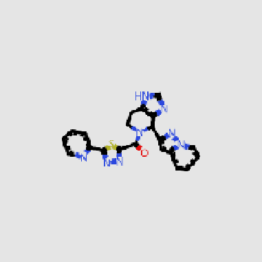 O=C(c1nnc(-c2ccccn2)s1)N1CCc2[nH]cnc2C1c1cc2ccccn2n1